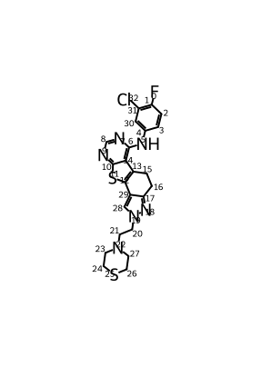 Fc1ccc(Nc2ncnc3sc4c(c23)CCc2nn(CCN3CCSCC3)cc2-4)cc1Cl